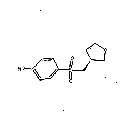 O=S(=O)(C[C@H]1CCOC1)c1ccc(O)cc1